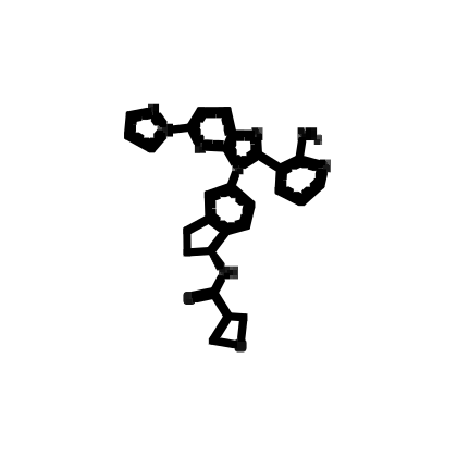 Nc1ncccc1-c1nc2ccc(-n3cccn3)nc2n1-c1ccc2c(c1)CC[C@@H]2NC(=O)C1COC1